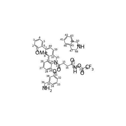 COc1ccccc1-c1ccc(CN(C(=O)CCC(=O)NOC(=O)C(F)(F)F)c2ccccc2Oc2cccc(CN)c2)cc1.c1ccc2c(c1)CCNC2